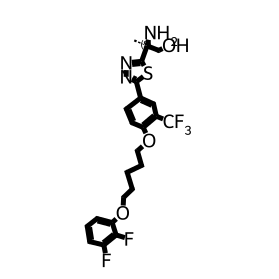 C[C@](N)(CO)c1nnc(-c2ccc(OCCCCCOc3cccc(F)c3F)c(C(F)(F)F)c2)s1